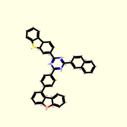 C1=CC2c3ccccc3SC2C=C1c1nc(-c2ccc(-c3cccc4oc5ccccc5c34)cc2)nc(-c2ccc3ccccc3c2)n1